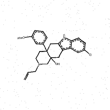 C=CCN1CCC2(c3cccc(OC)c3)Cc3[nH]c4ccc(Cl)cc4c3CC2(O)C1